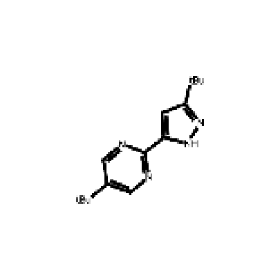 CC(C)(C)c1cnc(-c2cc(C(C)(C)C)n[nH]2)nc1